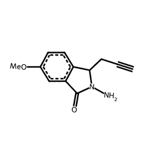 C#CCC1c2ccc(OC)cc2C(=O)N1N